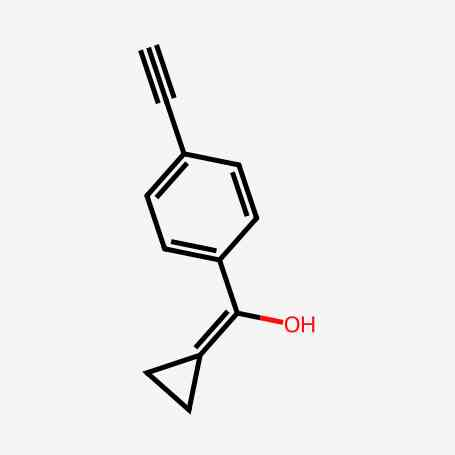 C#Cc1ccc(C(O)=C2CC2)cc1